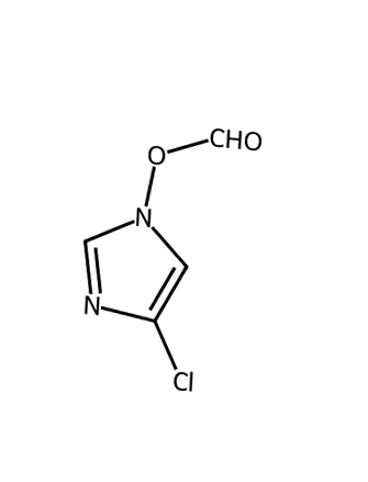 O=COn1cnc(Cl)c1